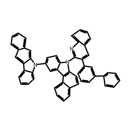 c1ccc(-c2cccc(-c3cc4ccccc4nc3-n3c4ccc(-n5c6ccccc6c6cc7ccccc7cc65)cc4c4c5ccccc5ccc43)c2)cc1